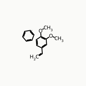 C=Cc1ccc(OC)c(OC)c1.[c]1ccccc1